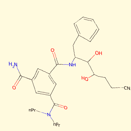 CCCN(CCC)C(=O)c1cc(C(N)=O)cc(C(=O)NC(Cc2ccccc2)C(O)C(O)CCC#N)c1